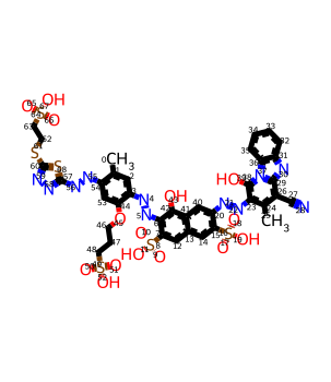 Cc1cc(N=Nc2c(S(=O)(=O)O)cc3cc(S(=O)(=O)O)c(N=Nc4c(C)c(C#N)c5nc6ccccc6n5c4O)cc3c2O)c(OCCCS(=O)(=O)O)cc1N=Nc1nnc(SCCS(=O)(=O)O)s1